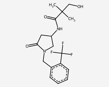 CC(C)(CO)C(=O)NC1CC(=O)N(Cc2ccccc2C(F)(F)F)C1